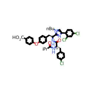 CCCCn1cc(-c2ccc(Cl)cc2Cl)nc1[C@H](Cc1ccc(Oc2ccc(C(=O)O)cc2)cc1)NC(=O)[C@H](Cc1ccc(Cl)cc1)NC(=O)C(C)C